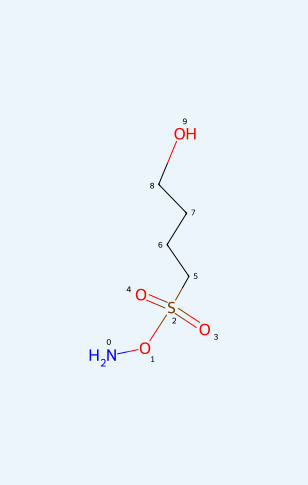 NOS(=O)(=O)CCCCO